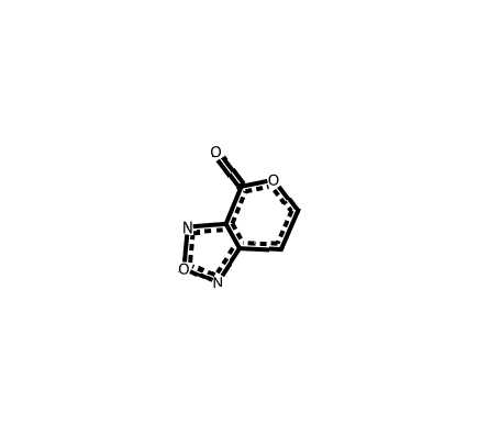 O=c1occc2nonc12